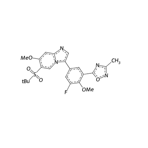 COc1cc2ncc(-c3cc(F)c(OC)c(-c4nc(C)no4)c3)n2cc1S(=O)(=O)C(C)(C)C